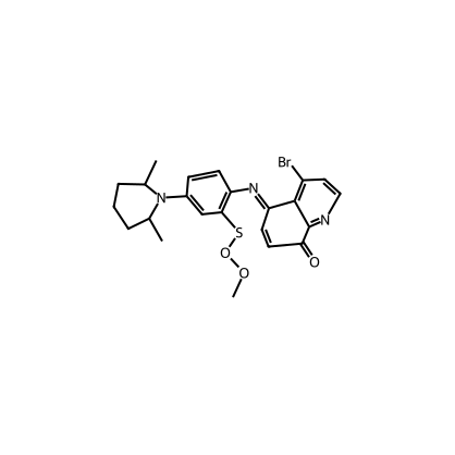 COOSc1cc(N2C(C)CCCC2C)ccc1N=C1C=CC(=O)c2nccc(Br)c21